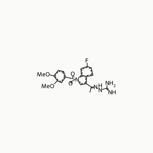 COc1ccc(S(=O)(=O)n2cc(C(C)=NNC(=N)N)c3ccc(F)cc32)cc1OC